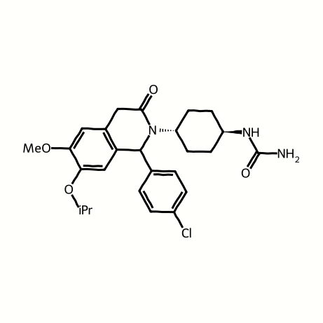 COc1cc2c(cc1OC(C)C)C(c1ccc(Cl)cc1)N([C@H]1CC[C@H](NC(N)=O)CC1)C(=O)C2